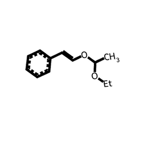 CCOC(C)OC=Cc1ccccc1